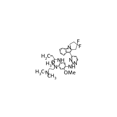 C=CC(=O)Nc1cc(Nc2nccc(-c3c4n(c5ccccc35)CCC(F)(F)C4)n2)c(OC)cc1N(C)CCN(C)C